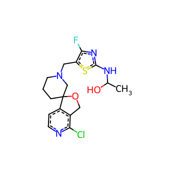 CC(O)Nc1nc(F)c(CN2CCCC3(C2)OCc2c3ccnc2Cl)s1